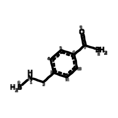 BNCc1ccc(C(B)=O)cc1